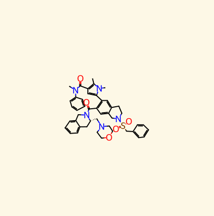 Cc1c(C(=O)N(C)c2ccccc2)cc(-c2cc3c(cc2C(=O)N2Cc4ccccc4C[C@H]2CN2CCOCC2)CN(S(=O)(=O)Cc2ccccc2)CC3)n1C